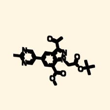 COC(=O)c1cc(-c2cnc(C)nc2)cc2c(C(C)=O)nn(CC(=O)OC(C)(C)C)c12